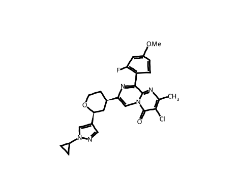 COc1ccc(-c2nc([C@@H]3CCO[C@H](c4cnn(C5CC5)c4)C3)cn3c(=O)c(Cl)c(C)nc23)c(F)c1